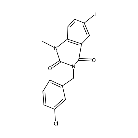 Cn1c(=O)n(Cc2cccc(Cl)c2)c(=O)c2cc(I)ccc21